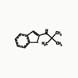 CC(C)(C)NC1=Cc2ccccc2[CH]1